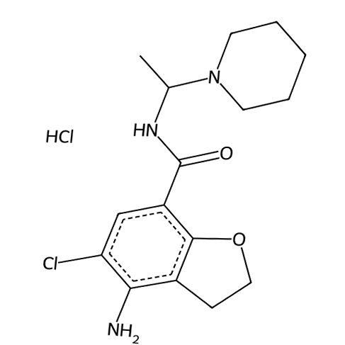 CC(NC(=O)c1cc(Cl)c(N)c2c1OCC2)N1CCCCC1.Cl